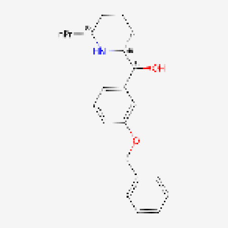 CCC[C@@H]1CCC[C@H]([C@@H](O)c2cccc(OCc3ccccc3)c2)N1